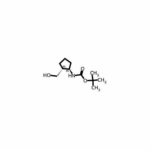 CC(C)(C)OC(=O)N[C@@H]1CCC[C@H]1CO